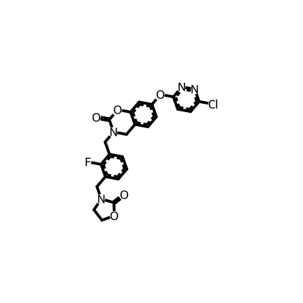 O=C1OCCN1Cc1cccc(CN2Cc3ccc(Oc4ccc(Cl)nn4)cc3OC2=O)c1F